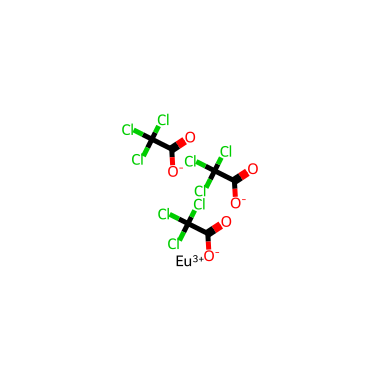 O=C([O-])C(Cl)(Cl)Cl.O=C([O-])C(Cl)(Cl)Cl.O=C([O-])C(Cl)(Cl)Cl.[Eu+3]